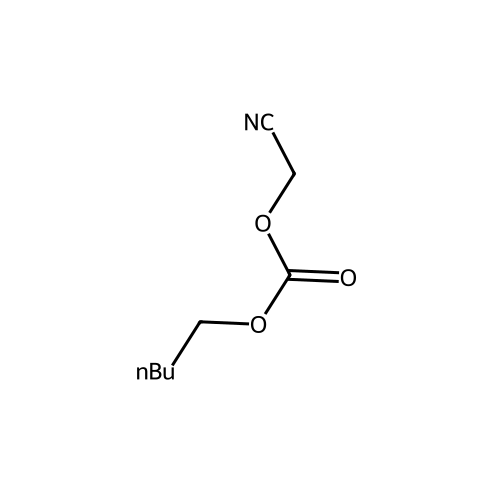 CCCCCOC(=O)OCC#N